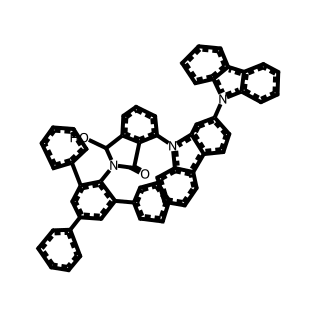 O=C1c2c(cccc2-n2c3ccccc3c3ccc(-n4c5ccccc5c5ccccc54)cc32)C(O)N1c1c(-c2ccccc2)cc(-c2ccccc2)cc1-c1ccccc1